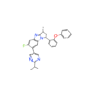 CC(C)c1ncc(-c2cc3c(cc2F)nc2n3C(c3ccccc3Oc3ccccc3)CC2C)cn1